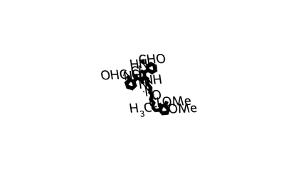 COc1ccc(CC(C)CCC(=O)[N]Cc2nc(C(Cl)c3ccccc3NC=O)c(C(Cl)c3ccccc3NC=O)[nH]2)c(Cl)c1OC